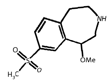 COC1CNCCc2ccc(S(C)(=O)=O)cc21